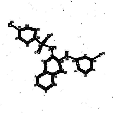 O=S(=O)(Nc1nc2ccccc2nc1Nc1cccc(F)c1)c1ccc(Cl)cc1